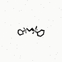 C[N+](C)(CCC[N+](C)(C)C1CCCCC1)C1CCCCC1